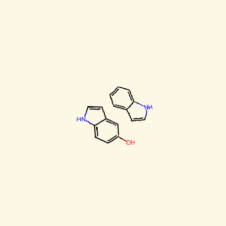 Oc1ccc2[nH]ccc2c1.c1ccc2[nH]ccc2c1